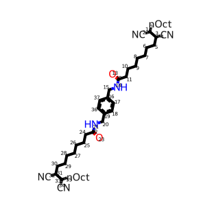 CCCCCCCCC(C#N)C(C#N)CCCCCCCC(=O)NCc1ccc(CNC(=O)CCCCCCCC(C#N)C(C#N)CCCCCCCC)cc1